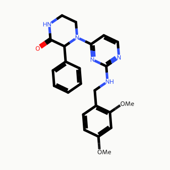 COc1ccc(CNc2nccc(N3CCNC(=O)C3c3ccccc3)n2)c(OC)c1